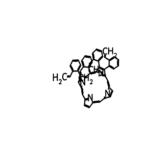 C=Cc1ccccc1C1=CC2=CC3=NC(=CC4=NC(=CC5=NC(=C(c6ccccc6C=C)C1=N2)C(c1ccccc1C=C)=C5c1ccccc1C=C)C=C4)C=C3